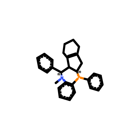 CN(C)[C@H](c1ccccc1)C1C2=C(CCCC2)C[C@H]1P(c1ccccc1)c1ccccc1